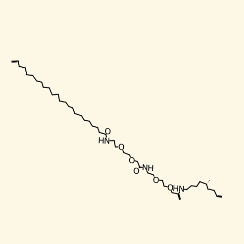 C=CCCCCCCCCCCCCCCCCCCCCCC(=O)NCCOCCOCC(=O)NCCOCCOCC(=C)NCCCC[C@H](C)CCC=C